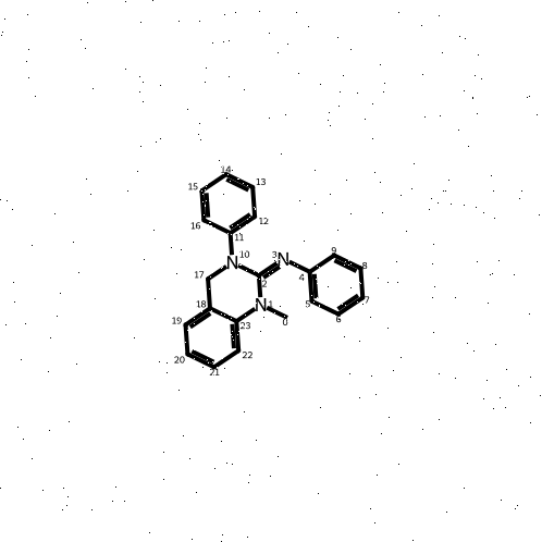 CN1C(=Nc2ccccc2)N(c2ccccc2)Cc2ccccc21